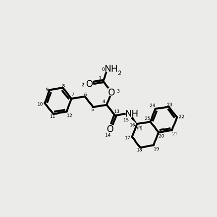 NC(=O)OC(CCc1ccccc1)C(=O)N[C@@H]1CCCc2ccccc21